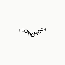 Oc1ccc(/N=N/c2cccc(/N=N/c3ccc(O)cc3)c2)cc1